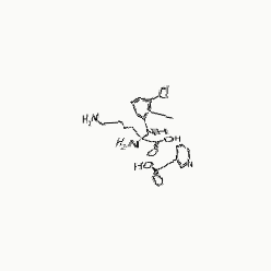 Cc1c(Cl)cccc1N[C@](N)(CCCCN)C(=O)O.O=C(O)c1cccnc1